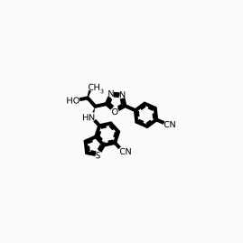 C[C@H](O)[C@@H](Nc1ccc(C#N)c2sccc12)c1nnc(-c2ccc(C#N)cc2)o1